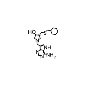 Nc1ncnc2c(CN3CC(O)[C@@H](CSCC4CCCCC4)C3)c[nH]c12